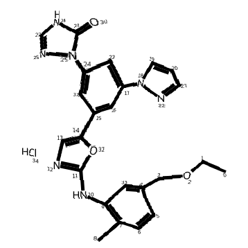 CCOCc1ccc(C)c(Nc2ncc(-c3cc(-n4cccn4)cc(-n4nc[nH]c4=O)c3)o2)c1.Cl